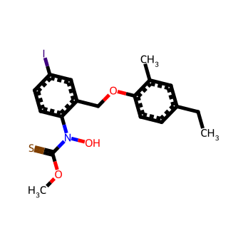 CCc1ccc(OCc2cc(I)ccc2N(O)C(=S)OC)c(C)c1